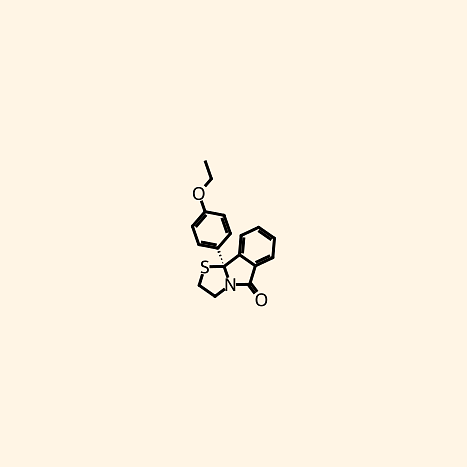 CCOc1ccc([C@@]23SCCN2C(=O)c2ccccc23)cc1